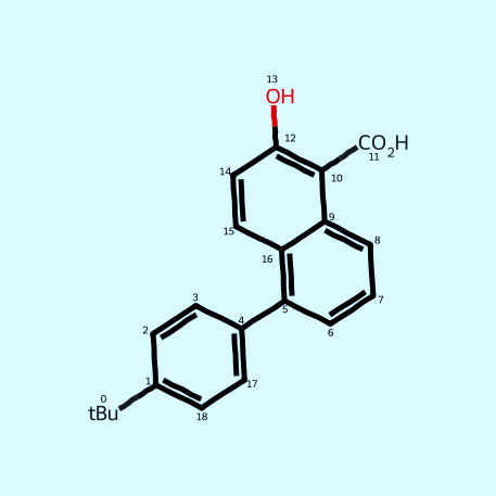 CC(C)(C)c1ccc(-c2cccc3c(C(=O)O)c(O)ccc23)cc1